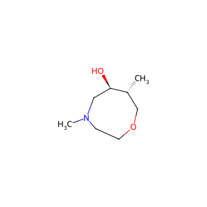 C[C@@H]1COCCN(C)C[C@H]1O